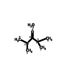 CN(C)C(=O)N(C)C.O